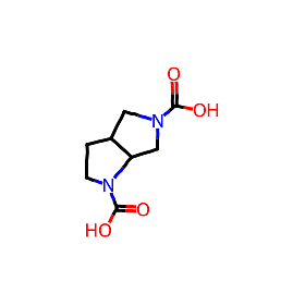 O=C(O)N1CC2CCN(C(=O)O)C2C1